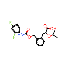 CC(C)OC(Cc1ccccc1COC(=O)Nc1ccc(F)cc1F)C(=O)O